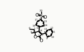 CCC1(C)OC(=O)C(c2ccccc2)=C1c1ccc(S(C)(=O)=O)cc1